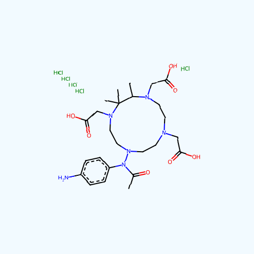 CC(=O)N(c1ccc(N)cc1)N1CCN(CC(=O)O)CCN(CC(=O)O)C(C)C(C)(C)N(CC(=O)O)CC1.Cl.Cl.Cl.Cl.Cl